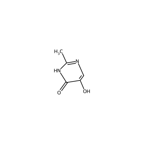 Cc1ncc(O)c(=O)[nH]1